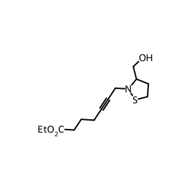 CCOC(=O)CCCC#CCN1SCCC1CO